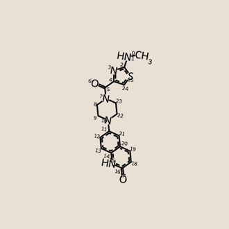 CNc1nc(C(=O)N2CCN(c3ccc4[nH]c(=O)ccc4c3)CC2)cs1